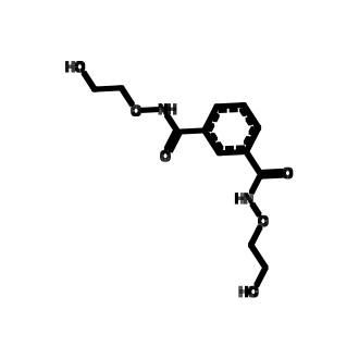 O=C(NOCCO)c1cccc(C(=O)NOCCO)c1